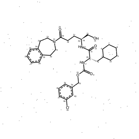 O=C(N[C@@H](CC1CCCCC1)C(=O)N[C@H](CO)CCC(=O)N1CCc2ccccc2CC1)OCc1cccc(Cl)c1